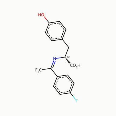 O=C(O)[C@H](Cc1ccc(O)cc1)N=C(c1ccc(F)cc1)C(F)(F)F